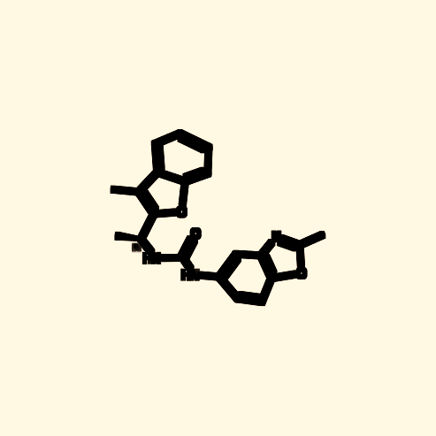 Cc1nc2cc(NC(=O)N[C@@H](C)c3oc4ccccc4c3C)ccc2o1